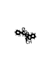 C#CCC12CCc3ccccc3C1OC1(C=C(c3ccccc3)C(=O)O1)C2